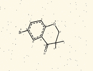 CC1(C)COc2ccc(Br)cc2C1=O